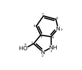 Oc1n[nH]c2ncccc12